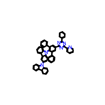 c1ccc(-c2nc(-c3cc(-c4ccccc4)c(-n4c5ccccc5c5cc(-n6c7ccccc7c7ccccc76)ccc54)c(-c4ccccc4)c3)nc(-c3ccccn3)n2)cc1